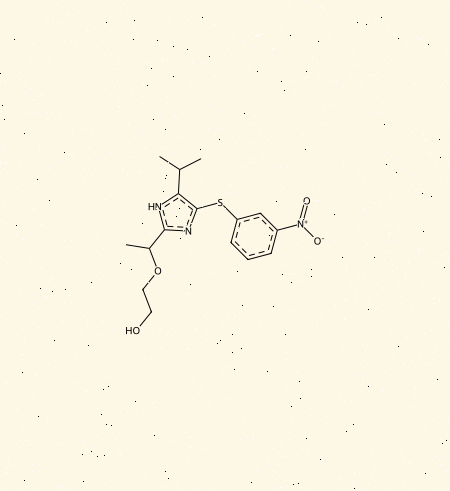 CC(C)c1[nH]c(C(C)OCCO)nc1Sc1cccc([N+](=O)[O-])c1